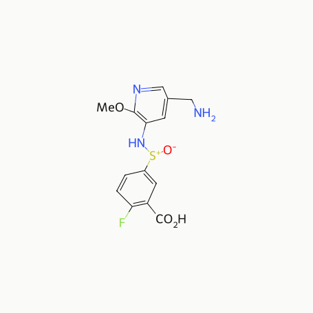 COc1ncc(CN)cc1N[S+]([O-])c1ccc(F)c(C(=O)O)c1